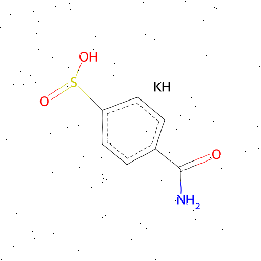 NC(=O)c1ccc(S(=O)O)cc1.[KH]